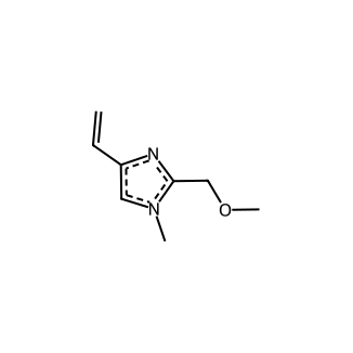 C=Cc1cn(C)c(COC)n1